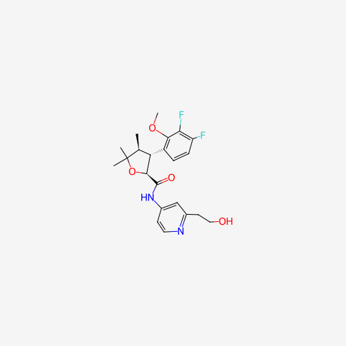 COc1c([C@@H]2[C@@H](C(=O)Nc3ccnc(CCO)c3)OC(C)(C)[C@H]2C)ccc(F)c1F